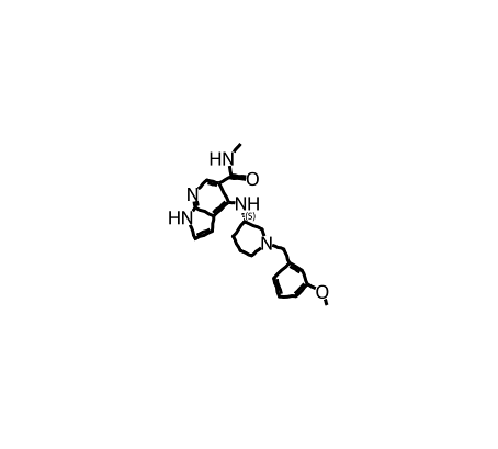 CNC(=O)c1cnc2[nH]ccc2c1N[C@H]1CCCN(Cc2cccc(OC)c2)C1